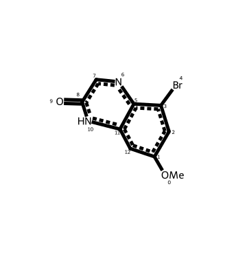 COc1cc(Br)c2ncc(=O)[nH]c2c1